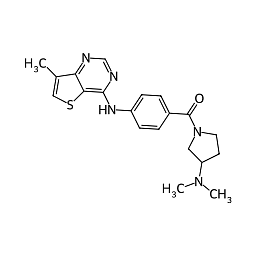 Cc1csc2c(Nc3ccc(C(=O)N4CCC(N(C)C)C4)cc3)ncnc12